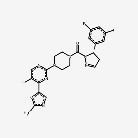 Cc1nnc(-c2nc(N3CCN(C(=O)N4N=CC[C@H]4c4cc(F)cc(F)c4)CC3)ncc2F)o1